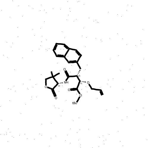 C=CCO[C@H](C(=O)OC(C)(C)C)[C@@H](Cc1ccc2ccccc2c1)C(=O)N[C@@H]1C(=O)OCC1(C)C